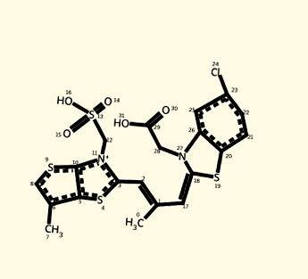 CC(=Cc1sc2c(C)csc2[n+]1CS(=O)(=O)O)C=C1Sc2ccc(Cl)cc2N1CC(=O)O